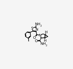 Cc1cccc(-c2sc(N)nc2C(=O)N2C[C@@H]3C[C@@H]3[C@H]2C(N)=O)c1